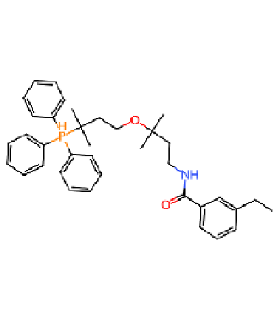 CCc1cccc(C(=O)NCCC(C)(C)OCCC(C)(C)[PH](c2ccccc2)(c2ccccc2)c2ccccc2)c1